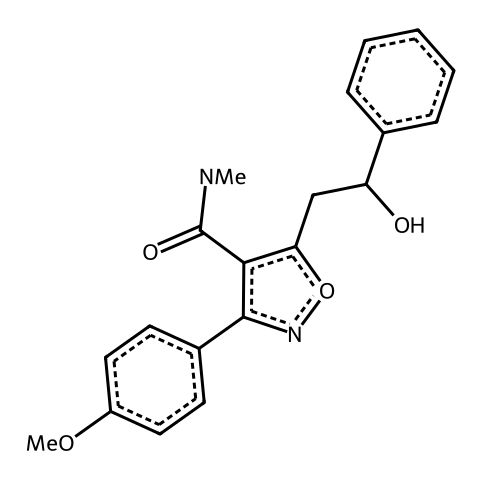 CNC(=O)c1c(-c2ccc(OC)cc2)noc1CC(O)c1ccccc1